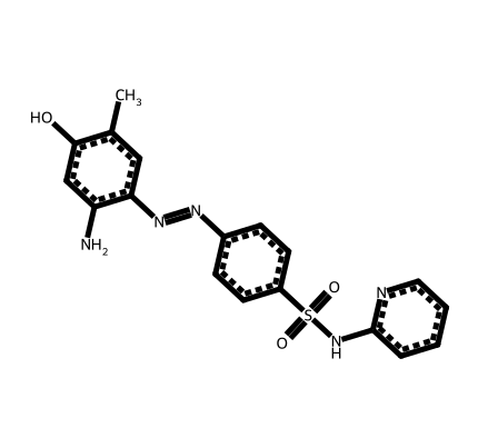 Cc1cc(/N=N/c2ccc(S(=O)(=O)Nc3ccccn3)cc2)c(N)cc1O